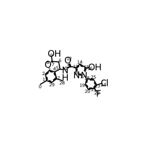 Cc1ccc(C(CC(=O)O)NC(=O)c2cc(O)n(-c3ccc(F)c(Cl)c3)n2)c(C)c1